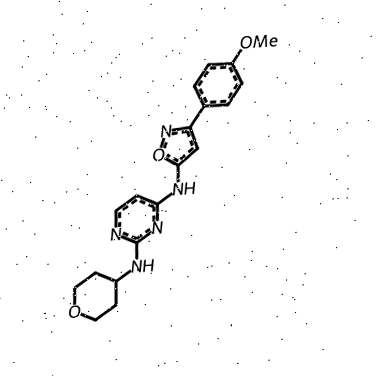 COc1ccc(-c2cc(Nc3ccnc(NC4CCOCC4)n3)on2)cc1